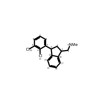 CNCC1CC(c2cccc(Cl)c2Cl)c2ccccc21